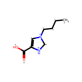 CCCCN1C=C(C(=O)O)NC1